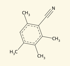 Cc1cc(C)c(C#N)c(C)c1C